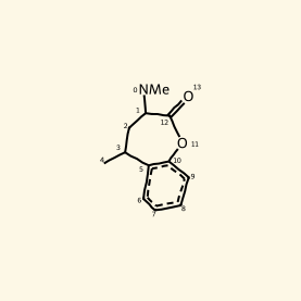 CNC1CC(C)c2ccccc2OC1=O